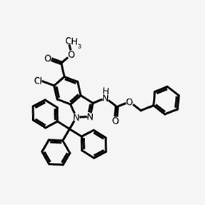 COC(=O)c1cc2c(NC(=O)OCc3ccccc3)nn(C(c3ccccc3)(c3ccccc3)c3ccccc3)c2cc1Cl